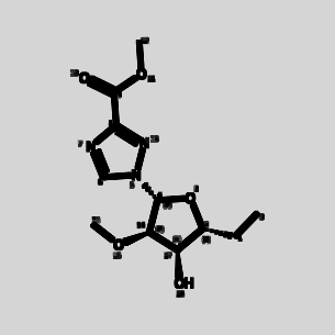 CC[C@H]1O[C@@H](n2cnc(C(=O)OC)n2)[C@H](OC)[C@@H]1O